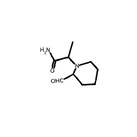 CC(C(N)=O)N1CCCCC1C=O